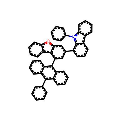 c1ccc(-c2c3ccccc3c(-c3cc(-c4cccc5c6ccccc6n(-c6ccccc6)c45)cc4oc5ccccc5c34)c3ccccc23)cc1